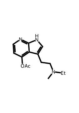 CCN(C)CCc1c[nH]c2nccc(OC(C)=O)c12